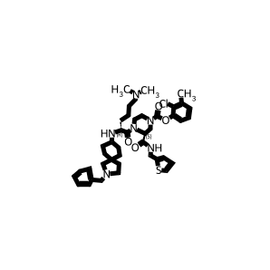 Cc1cccc(OC(=O)N2CCN(C(=O)[C@@H](CCCCN(C)C)NC3CCC4(CC3)CCN(Cc3ccccc3)C4)[C@H](C(=O)NCc3cccs3)C2)c1Cl